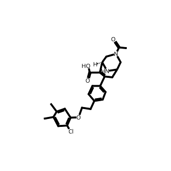 CC(=O)N1CC2CC(c3ccc(CCOc4cc(C)c(C)cc4Cl)cc3)=C(C(=O)O)[C@@H](C1)N2